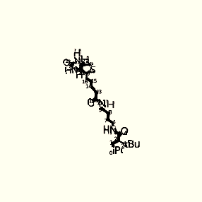 CC(C)C[C@@H](C(=O)NCCCCNC(=O)CCCC[C@@H]1SC[C@@H]2NC(=O)N[C@@H]21)C(C)(C)C